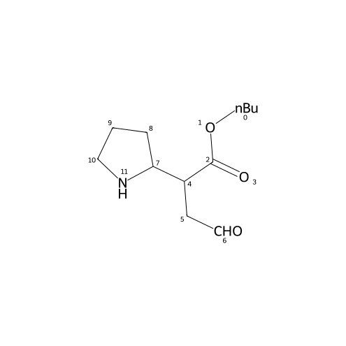 CCCCOC(=O)C(CC=O)C1CCCN1